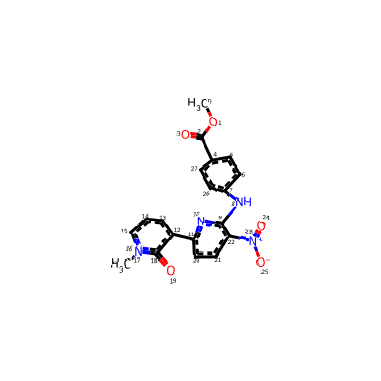 COC(=O)c1ccc(Nc2nc(-c3cccn(C)c3=O)ccc2[N+](=O)[O-])cc1